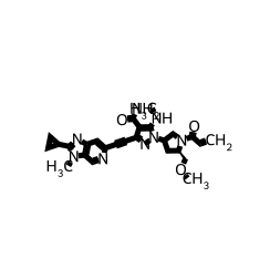 C=CC(=O)N1CC(n2nc(C#Cc3cc4nc(C5CC5)n(C)c4cn3)c(C(N)=O)c2NC)C[C@@H]1COC